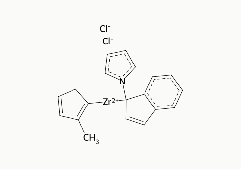 CC1=[C]([Zr+2][C]2(n3cccc3)C=Cc3ccccc32)CC=C1.[Cl-].[Cl-]